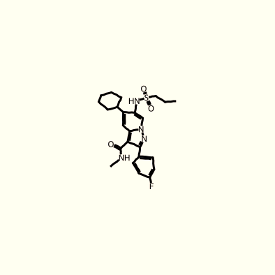 CCCS(=O)(=O)Nc1cn2nc(-c3ccc(F)cc3)c(C(=O)NC)c2cc1C1CCCCC1